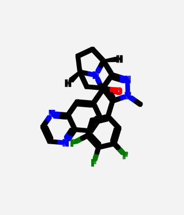 Cn1nc2c(c1-c1cc(F)c(F)c(F)c1)C[C@@H]1CC[C@H]2N1C(=O)c1ccc2nccnc2c1